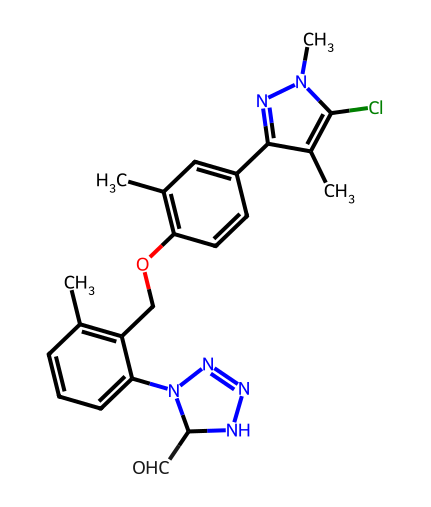 Cc1cc(-c2nn(C)c(Cl)c2C)ccc1OCc1c(C)cccc1N1N=NNC1C=O